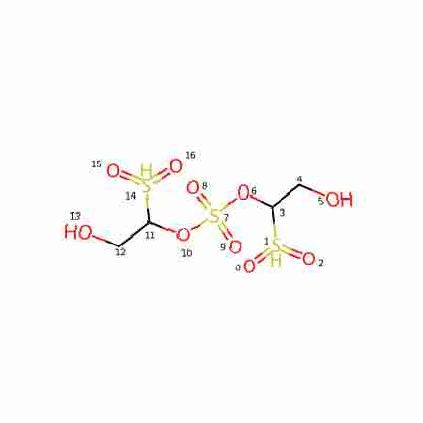 O=[SH](=O)C(CO)OS(=O)(=O)OC(CO)[SH](=O)=O